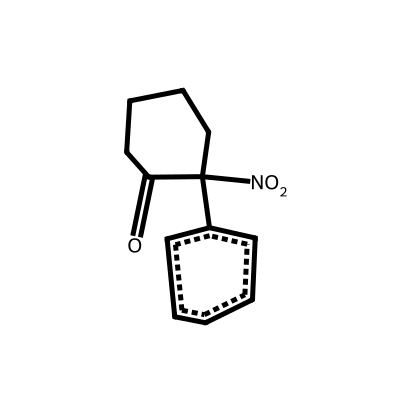 O=C1CCCCC1(c1ccccc1)[N+](=O)[O-]